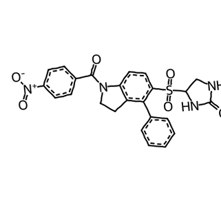 O=C1NCC(S(=O)(=O)c2ccc3c(c2-c2ccccc2)CCN3C(=O)c2ccc([N+](=O)[O-])cc2)N1